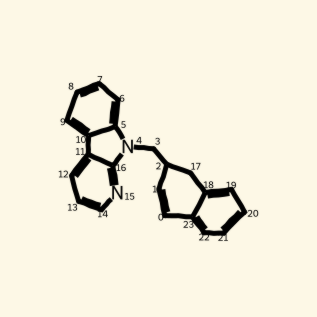 C1=CC(Cn2c3ccccc3c3cccnc32)Cc2ccccc21